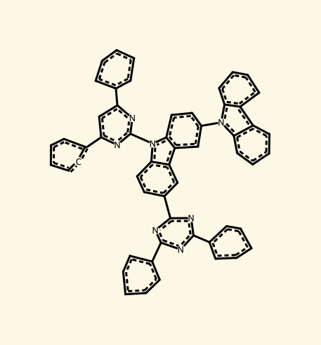 c1ccc(-c2cc(-c3ccccc3)nc(-n3c4ccc(-c5nc(-c6ccccc6)nc(-c6ccccc6)n5)cc4c4cc(-n5c6ccccc6c6ccccc65)ccc43)n2)cc1